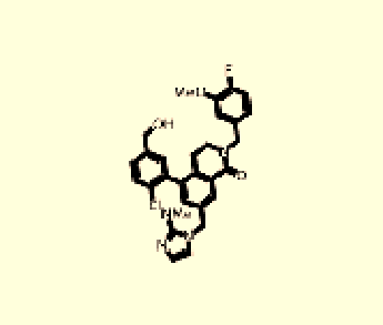 CNc1nccn1Cc1cc2c(c(-c3cc(CO)ccc3Cl)c1)CCN(Cc1ccc(F)c(OC)c1)C2=O